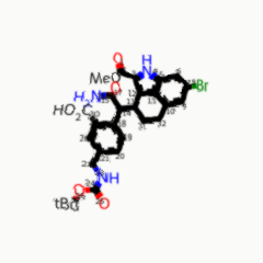 COC(=O)c1[nH]c2cc(Br)cc3c2c1C(C(C(N)=O)c1ccc(CNC(=O)OC(C)(C)C)cc1C(=O)O)CC3